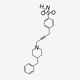 NS(=O)(=O)c1ccc(CC#CCN2CCC(Cc3ccccc3)CC2)cc1